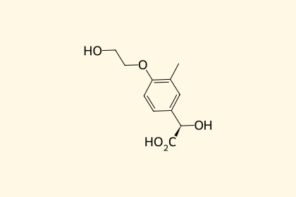 Cc1cc([C@@H](O)C(=O)O)ccc1OCCO